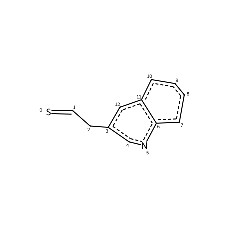 S=CCc1cnc2ccccc2c1